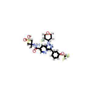 CC1(NC(=O)c2cnc3c(-c4cccc(OC(F)F)c4)nn(C4CCOC[C@H]4F)c3c2)CS(=O)(=O)C1